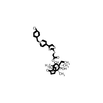 C=C[C@]1(C)C[C@@H](OC(=O)CSc2nc(-c3cc[n+](Cc4ccc(Cl)cc4)cc3)cs2)[C@]2(C)[C@H](C)CCC3(CCC(=O)[C@H]32)[C@@H](C)[C@@H]1O